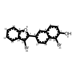 Oc1ccc2cc(-c3oc4ccccc4c3Br)ccc2c1Br